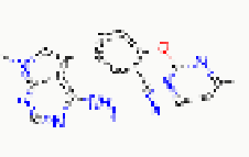 Cc1ccnc(Oc2ccc(-c3cn(C)c4ncnc(N)c34)cc2C#N)n1